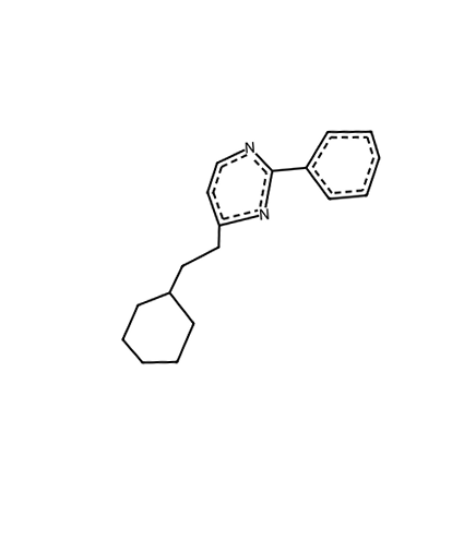 c1ccc(-c2nccc(CCC3CCCCC3)n2)cc1